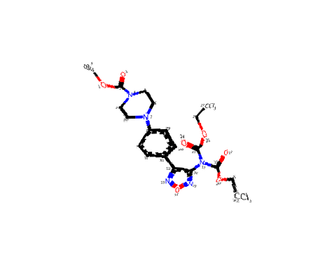 CC(C)(C)OC(=O)N1CCN(c2ccc(-c3nonc3N(C(=O)OCC(Cl)(Cl)Cl)C(=O)OCC(Cl)(Cl)Cl)cc2)CC1